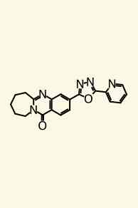 O=c1c2ccc(-c3nnc(-c4ccccn4)o3)cc2nc2n1CCCCC2